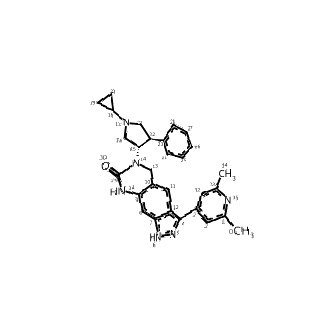 Cc1cc(-c2n[nH]c3cc4c(cc23)CN([C@@H]2CN(C3CC3)C[C@H]2c2ccccc2)C(=O)N4)cc(C)n1